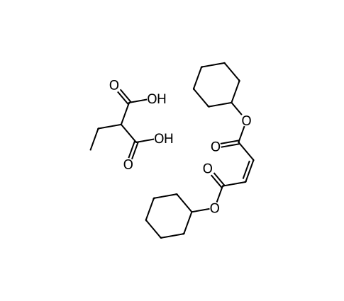 CCC(C(=O)O)C(=O)O.O=C(/C=C\C(=O)OC1CCCCC1)OC1CCCCC1